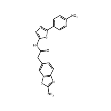 Nc1nc2ccc(CC(=O)Nc3nnc(-c4ccc([N+](=O)[O-])cc4)s3)cc2s1